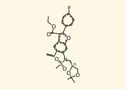 C=Cc1cc2c(C(=O)OCC)c(-c3ccc(F)cc3)oc2cc1N(C[C@H]1COC(C)(C)O1)S(C)(=O)=O